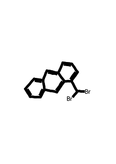 BrC(Br)c1cccc2cc3ccccc3cc12